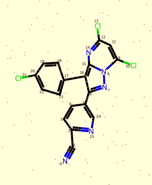 N#Cc1ccc(-c2nn3c(Cl)cc(Cl)nc3c2-c2ccc(Cl)cc2)cn1